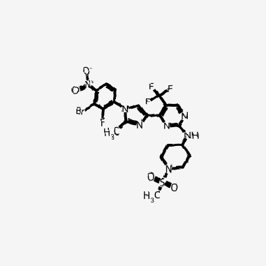 Cc1nc(-c2nc(NC3CCN(S(C)(=O)=O)CC3)ncc2C(F)(F)F)cn1-c1ccc([N+](=O)[O-])c(Br)c1F